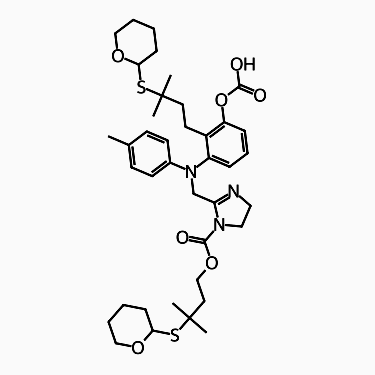 Cc1ccc(N(CC2=NCCN2C(=O)OCCC(C)(C)SC2CCCCO2)c2cccc(OC(=O)O)c2CCC(C)(C)SC2CCCCO2)cc1